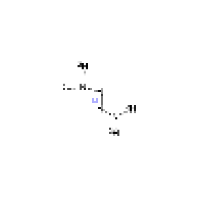 [2H]N([2H])/N=N/N([2H])[2H]